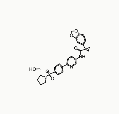 O=C(Nc1ccc(-c2ccc(S(=O)(=O)N3CCC[C@@H]3CO)cc2)nc1)C1(c2ccc3c(c2)OCO3)CC1